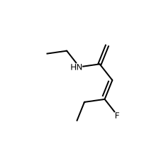 C=C(/C=C(/F)CC)NCC